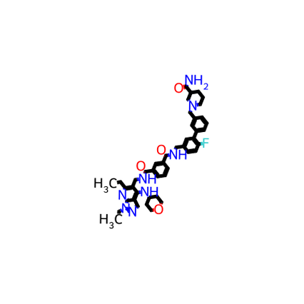 CCc1nc2c(cnn2CC)c(NC2CCOCC2)c1CNC(=O)c1cccc(C(=O)NCc2ccc(F)c(-c3cccc(CN4CCCC(C(N)=O)C4)c3)c2)c1